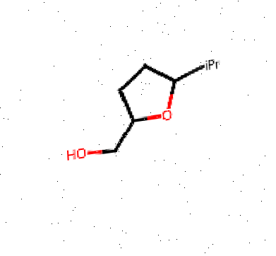 CC(C)C1CCC(CO)O1